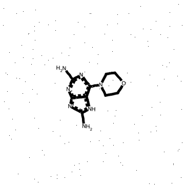 Nc1nc(N2CCOCC2)c2[nH]c(N)nc2n1